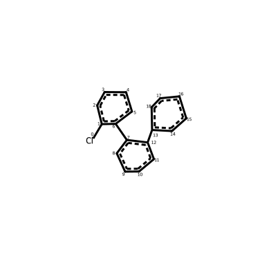 Clc1ccccc1-c1ccccc1-c1ccccc1